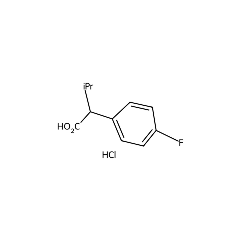 CC(C)C(C(=O)O)c1ccc(F)cc1.Cl